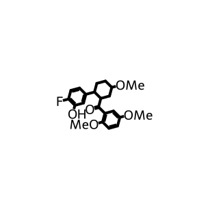 COc1ccc(OC)c(C(=O)C2CC(OC)CCC2c2ccc(F)c(O)c2)c1